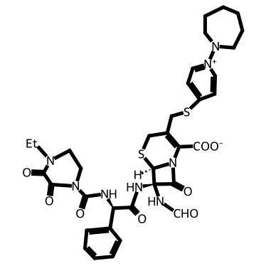 CCN1CCN(C(=O)N[C@@H](C(=O)N[C@]2(NC=O)C(=O)N3C(C(=O)[O-])=C(CSc4cc[n+](N5CCCCCC5)cc4)CS[C@@H]32)c2ccccc2)C(=O)C1=O